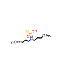 CCCCCCCCCCCCCNCCCCCCCCCCCCC.O=P(O)(S)S